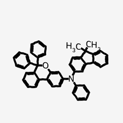 CC1(C)c2ccccc2-c2cc(N(c3ccccc3)c3ccc4c(c3)OC(c3ccccc3)(c3ccccc3)c3ccccc3-4)ccc21